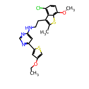 CCOc1csc(-c2cc(NCCc3c(C)sc4c(OC)ccc(Cl)c34)ncn2)c1